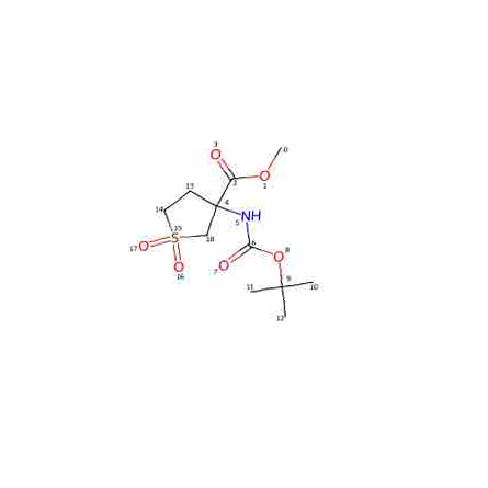 COC(=O)C1(NC(=O)OC(C)(C)C)CCS(=O)(=O)C1